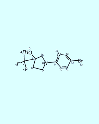 OC1(C(F)(F)F)CCN(c2ccc(Br)cn2)C1